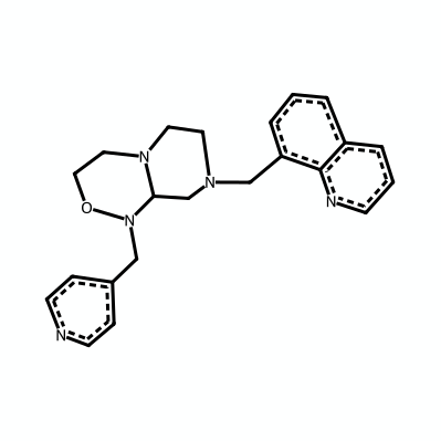 c1cnc2c(CN3CCN4CCON(Cc5ccncc5)C4C3)cccc2c1